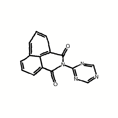 O=C1c2cccc3cccc(c23)C(=O)N1c1ncncn1